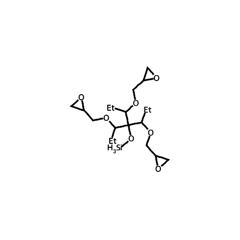 CCC(OCC1CO1)C(O[SiH3])(C(CC)OCC1CO1)C(CC)OCC1CO1